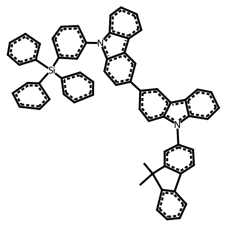 CC1(C)c2ccccc2-c2ccc(-n3c4ccccc4c4cc(-c5ccc6c(c5)c5ccccc5n6-c5cccc([Si](c6ccccc6)(c6ccccc6)c6ccccc6)c5)ccc43)cc21